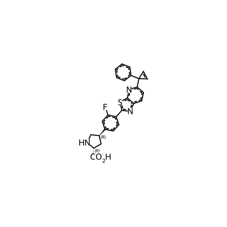 O=C(O)[C@H]1C[C@H](c2ccc(-c3nc4ccc(C5(c6ccccc6)C=C5)nc4s3)c(F)c2)CN1